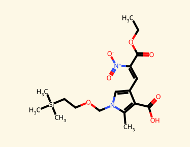 CCOC(=O)C(=Cc1cn(COCC[Si](C)(C)C)c(C)c1C(=O)O)[N+](=O)[O-]